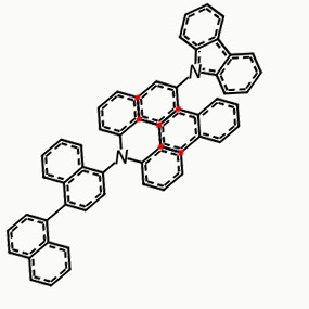 c1cc(-c2ccccc2N(c2ccccc2-c2ccc3ccccc3c2)c2ccc(-c3cccc4ccccc34)c3ccccc23)cc(-n2c3ccccc3c3ccccc32)c1